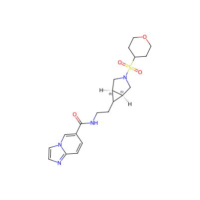 O=C(NCCC1[C@H]2CN(S(=O)(=O)C3CCOCC3)C[C@@H]12)c1ccc2nccn2c1